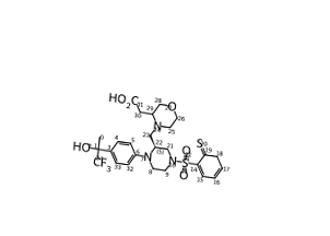 CC(O)(c1ccc(N2CCN(S(=O)(=O)C3=CC=CCC3=S)C[C@@H]2CN2CCOCC2CC(=O)O)cc1)C(F)(F)F